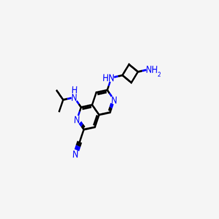 CC(C)Nc1nc(C#N)cc2cnc(NC3CC(N)C3)cc12